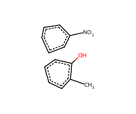 Cc1ccccc1O.O=[N+]([O-])c1ccccc1